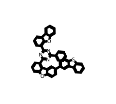 c1ccc(-c2nc(-c3cccc4c3oc3ccccc34)nc(-c3cccc4oc5ccc(-c6ccc7sc8ccccc8c7c6)cc5c34)n2)cc1